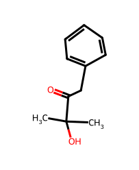 CC(C)(O)C(=O)Cc1ccccc1